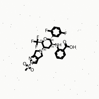 CS(=O)(=O)n1cc2c(n1)CN([C@@H]1C[C@H](Nc3ccccc3C(=O)O)[C@@H](c3cc(F)ccc3F)O[C@@H]1C(F)(F)F)C2